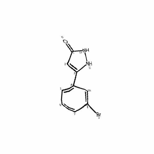 O=c1cc(-c2cccc(Br)c2)[nH][nH]1